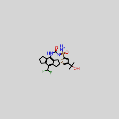 CC(C)(O)c1csc(S(N)(=O)=NC(=O)Nc2c3c(c(C(F)F)c4c2CCC4)CCC3)c1